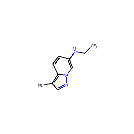 N#Cc1cnn2cc(NCC(F)(F)F)ccc12